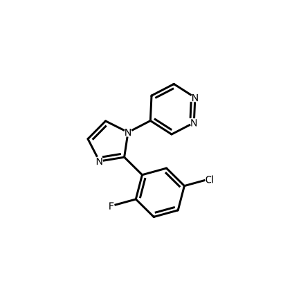 Fc1ccc(Cl)cc1-c1nccn1-c1ccnnc1